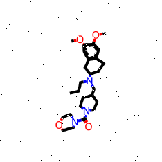 CCCN(CC1CCN(C(=O)N2CCOCC2)CC1)C1CCc2cc(OC)c(OC)cc2C1